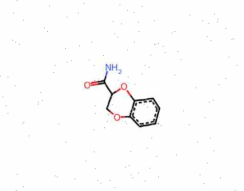 NC(=O)C1COc2c[c]ccc2O1